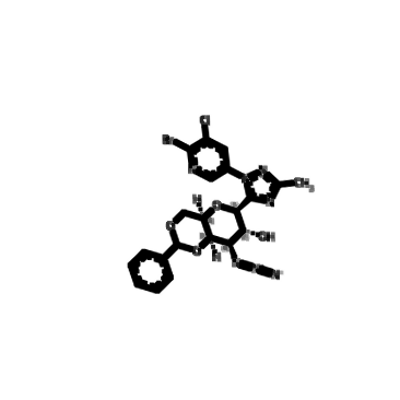 Cc1nc([C@@H]2O[C@@H]3COC(c4ccccc4)O[C@@H]3[C@H](N=[N+]=[N-])[C@H]2O)n(-c2cnc(Br)c(Cl)c2)n1